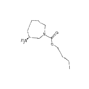 CCCCOC(=O)N1CCCC[C@H](N)C1